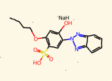 CCCCOc1cc(O)c(-n2nc3ccccc3n2)cc1S(=O)(=O)O.[NaH]